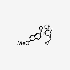 COc1ccc2cc(C(=O)[C@H]3CN(CC4CC4)CC[C@@H]3C(F)(F)F)ccc2c1